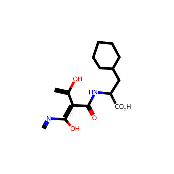 C=N/C(O)=C(\C(=C)O)C(=O)NC(CC1CCCCC1)C(=O)O